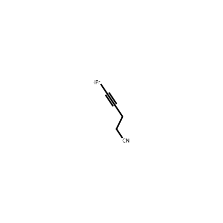 C[C](C)C#CCCC#N